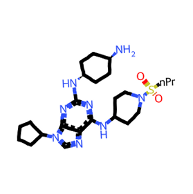 CCCS(=O)(=O)N1CCC(Nc2nc(N[C@H]3CC[C@H](N)CC3)nc3c2ncn3C2CCCC2)CC1